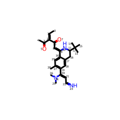 C/C=C(/C(C)=O)C(=O)/C=C1\NC(C(C)(C)C)Cc2cc(/C(=C/C=N)N(C)C)c(C)cc21